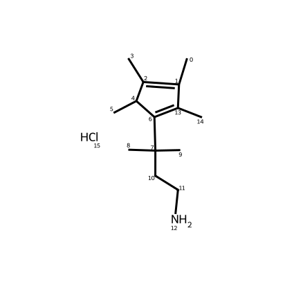 CC1=C(C)C(C)C(C(C)(C)CCN)=C1C.Cl